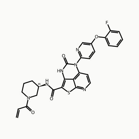 C=CC(=O)N1CCC[C@@H](NC(=O)c2sc3nccc4c3c2NC(=O)N4c2ccc(Oc3ccccc3F)cn2)C1